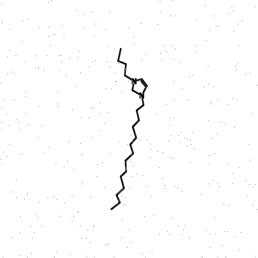 CCCCCCCCCCCCCCN1C=CN(CCCC)C1